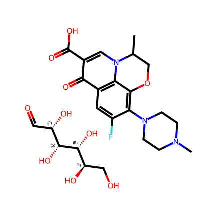 CC1COc2c(N3CCN(C)CC3)c(F)cc3c(=O)c(C(=O)O)cn1c23.O=C[C@H](O)[C@@H](O)[C@H](O)[C@H](O)CO